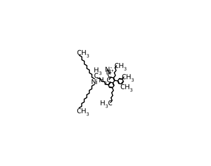 CCCCCCCCCCCC[CH2][Ni][CH2]CCCCCCCCCCCC.CCCCCCc1cc(CCCCCC)cc(C(=C(CCCCC)C(C)=C=[N+]=[N-])c2cc(C)cc(C)c2)c1